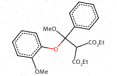 CCOC(=O)C(C(=O)OCC)C(OC)(Oc1ccccc1OC)c1ccccc1